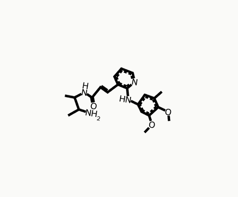 COc1cc(Nc2ncccc2/C=C/C(=O)NC(C)C(C)N)cc(C)c1OC